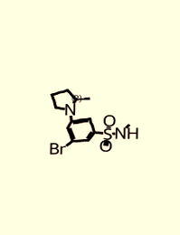 CNS(=O)(=O)c1cc(Br)cc(N2CCC[C@H]2C)c1